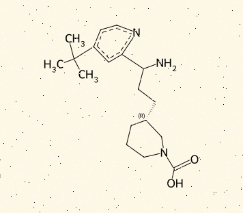 CC(C)(C)c1ccnc(C(N)CC[C@H]2CCCN(C(=O)O)C2)c1